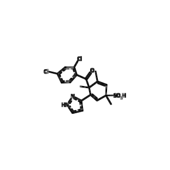 CC1=CC(C)(S(=O)(=O)O)C=C(c2cc[nH]n2)C1(C)C(=O)c1ccc(Cl)cc1Cl